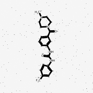 CN1CCN(C(=O)c2cccc(NC(=O)Nc3ccc(C(F)(F)F)cc3)c2)CC1